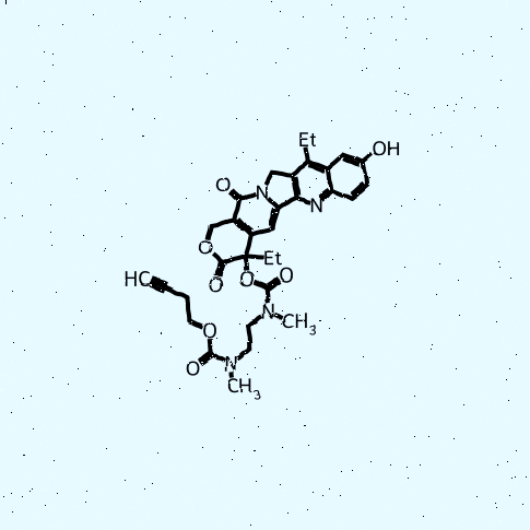 C#CCCOC(=O)N(C)CCN(C)C(=O)OC1(CC)C(=O)OCc2c1cc1n(c2=O)Cc2c-1nc1ccc(O)cc1c2CC